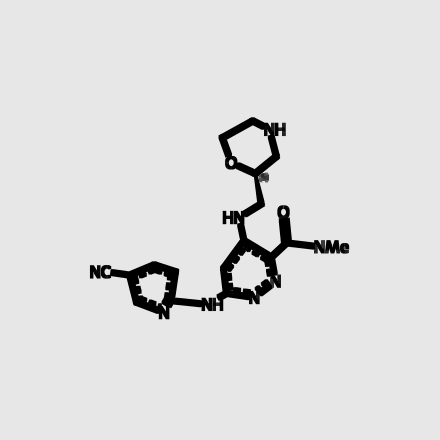 CNC(=O)c1nnc(Nc2ccc(C#N)cn2)cc1NC[C@@H]1CNCCO1